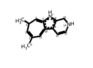 CC1=CC(C)C=c2[nH]c3c(c2=C1)C=CNC3